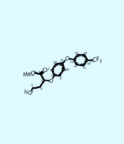 COC(=O)C(CCO)Oc1ccc(Oc2ccc(C(F)(F)F)cc2)cc1